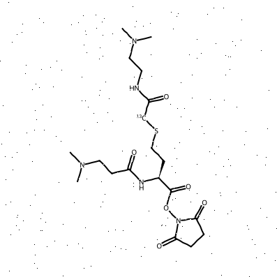 CN(C)CCNC(=O)[13CH2]SCC[C@H](NC(=O)CCN(C)C)C(=O)ON1C(=O)CCC1=O